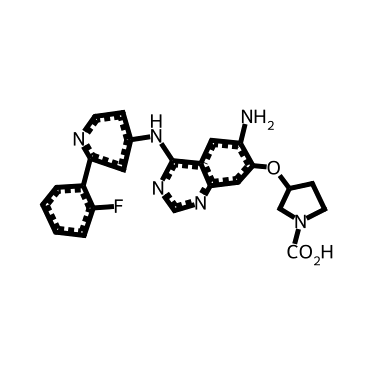 Nc1cc2c(Nc3ccnc(-c4ccccc4F)c3)ncnc2cc1OC1CCN(C(=O)O)C1